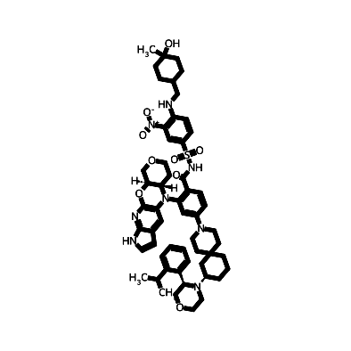 CC(C)c1ccccc1[C@@H]1COCCN1[C@H]1CCCC2(CCN(c3ccc(C(=O)NS(=O)(=O)c4ccc(NCC5CCC(C)(O)CC5)c([N+](=O)[O-])c4)c(N4c5cc6cc[nH]c6nc5O[C@H]5COCC[C@@H]54)c3)CC2)C1